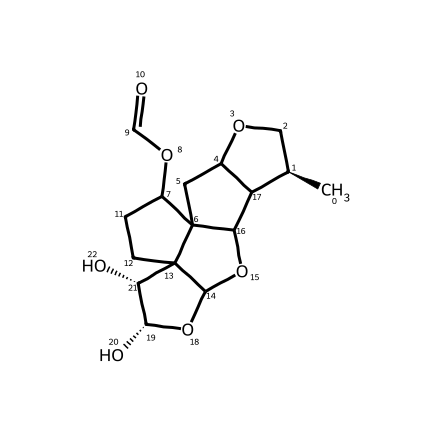 C[C@@H]1COC2CC34C(OC=O)CCC35C(OC4C21)O[C@H](O)[C@@H]5O